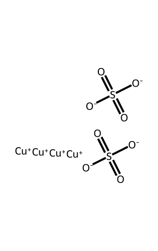 O=S(=O)([O-])[O-].O=S(=O)([O-])[O-].[Cu+].[Cu+].[Cu+].[Cu+]